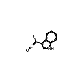 O=C=C(F)c1c[nH]c2ccccc12